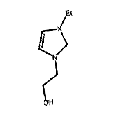 CCN1C=CN(CCO)C1